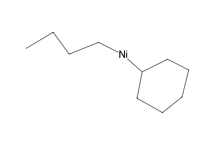 CCC[CH2][Ni][CH]1CCCCC1